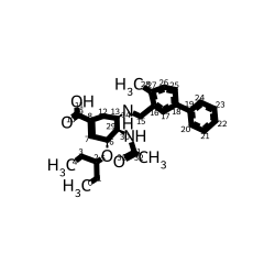 CCC(CC)O[C@@H]1C=C(C(=O)O)C[C@H](NCc2cc(-c3ccccc3)ccc2C)[C@H]1NC(C)=O